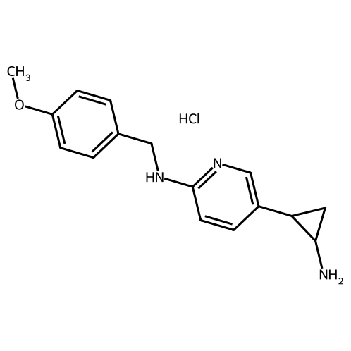 COc1ccc(CNc2ccc(C3CC3N)cn2)cc1.Cl